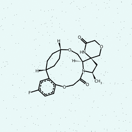 C[C@@H]1C[C@@]2(COCC(=O)N2)[C@@H]2CO[C@H]3CC[C@H](CC3)c3cc(F)ccc3OCC(=O)N12